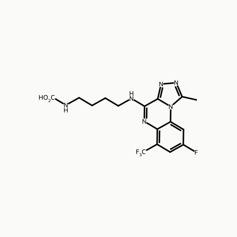 Cc1nnc2c(NCCCCNC(=O)O)nc3c(C(F)(F)F)cc(F)cc3n12